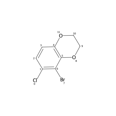 Clc1ccc2c(c1Br)OCCO2